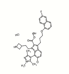 Cc1nn(C)c(C)c1-c1c(Cl)ccc2c(CCCOc3cccc4cc(F)ccc34)c(C(=O)OC(C)(C)C)n(CCC3CNC3)c12.Cl